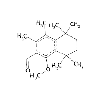 COc1c(C=O)c(C)c(C)c2c1C(C)(C)CCC2(C)C